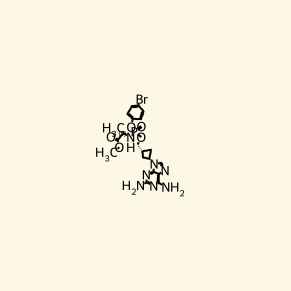 COC(=O)[C@H](C)NP(=O)(OC[C@H]1C[C@@H](n2cnc3c(N)nc(N)nc32)C1)Oc1ccc(Br)cc1